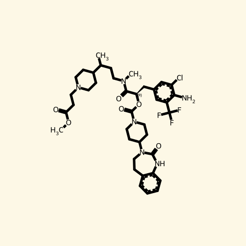 COC(=O)CCN1CCC(C(C)CCN(C)C(=O)[C@@H](Cc2cc(Cl)c(N)c(C(F)(F)F)c2)OC(=O)N2CCC(N3CCc4ccccc4NC3=O)CC2)CC1